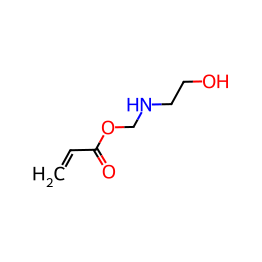 C=CC(=O)OCNCCO